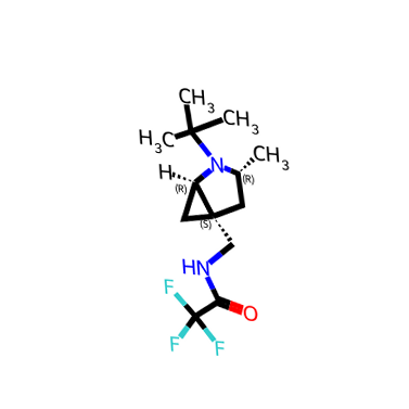 C[C@@H]1C[C@@]2(CNC(=O)C(F)(F)F)C[C@H]2N1C(C)(C)C